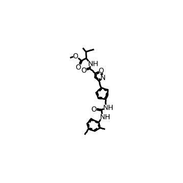 COC(=O)C(NC(=O)c1cc(-c2ccc(NC(=O)Nc3ccc(C)cc3C)cc2)no1)C(C)C